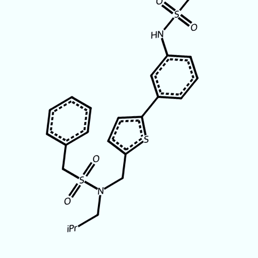 CC(C)CN(Cc1ccc(-c2cccc(NS(C)(=O)=O)c2)s1)S(=O)(=O)Cc1ccccc1